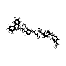 CN(CCN1CCC(OC(=O)Nc2ccccc2-c2ccccc2)CC1)C(=O)c1ccc(CN2CCN(C=O)CC2)cn1